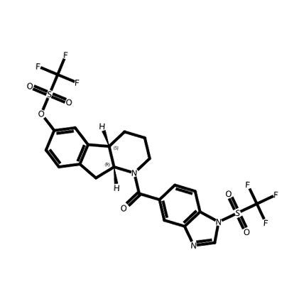 O=C(c1ccc2c(c1)ncn2S(=O)(=O)C(F)(F)F)N1CCC[C@H]2c3cc(OS(=O)(=O)C(F)(F)F)ccc3C[C@H]21